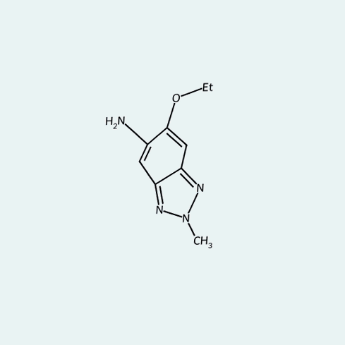 CCOc1cc2nn(C)nc2cc1N